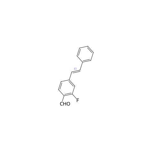 O=Cc1ccc(/C=C/c2ccccc2)cc1F